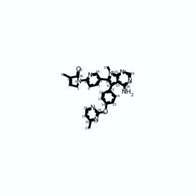 CC1=CCN(c2ccc(-c3c(-c4ccc(Oc5nccc(C)n5)cc4)c4c(N)ncnc4n3C)cn2)C1=O